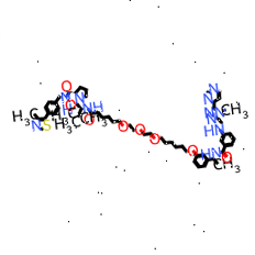 Cc1ncsc1-c1ccc(CNC(=O)[C@@H]2CCCN2C(=O)[C@@H](NC(=O)CCCCCOCCOCCOCCCCCCOc2cccc(C(C)NC(=O)c3cccc(NCc4nnc(-c5ccncn5)n4C)c3)c2)C(C)(C)C)cc1